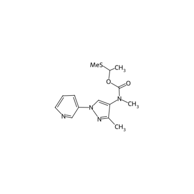 CSC(C)OC(=O)N(C)c1cn(-c2cccnc2)nc1C